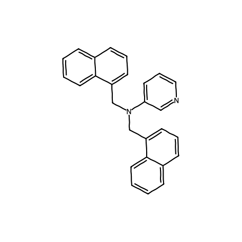 c1cncc(N(Cc2cccc3ccccc23)Cc2cccc3ccccc23)c1